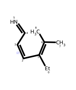 CCC(/C=C\C=N)=C(C)C